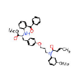 C/C=C/C(=O)N(CCCOc1ccc(C[C@H](Nc2ccccc2C(=O)c2ccccc2)C(=O)OC)cc1)c1cccc(OC)c1